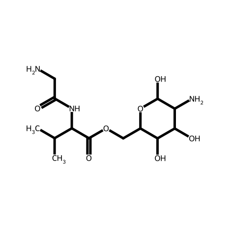 CC(C)C(NC(=O)CN)C(=O)OCC1OC(O)C(N)C(O)C1O